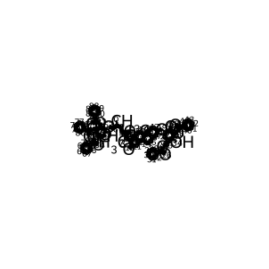 C[C@@H](CCC(=O)[C@@H](C)C1C(=O)CC2C3CCC4CC(O[C@@H]5CC(COC(=O)c6ccccc6)[C@H](O)C(OC(=O)c6ccccc6)C5O)CCC4(C)C3CCC21C)CO[C@@H]1OC[C@H](OC(=O)c2ccccc2)C(OC(=O)c2ccccc2)C1OC(=O)c1ccccc1